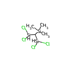 C[Si](C)(C)C([SiH](Cl)Cl)[SiH](Cl)Cl